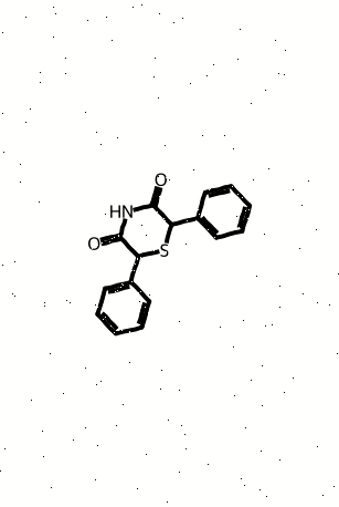 O=C1NC(=O)C(c2ccccc2)SC1c1ccccc1